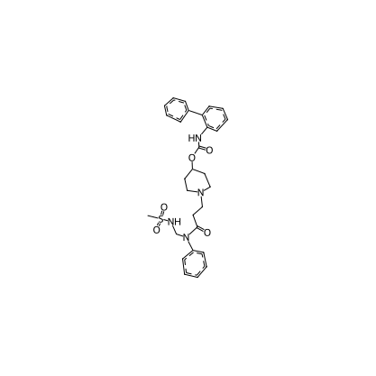 CS(=O)(=O)NCN(C(=O)CCN1CCC(OC(=O)Nc2ccccc2-c2ccccc2)CC1)c1ccccc1